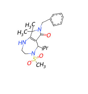 CC(C)C1C2=C(NCCN1S(C)(=O)=O)C(C)(C)N(Cc1ccccc1)C2=O